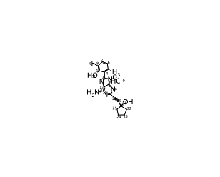 Cl.Cn1c(-c2cccc(F)c2O)nc2c(N)nc(C#CC3(O)CCCC3)nc21